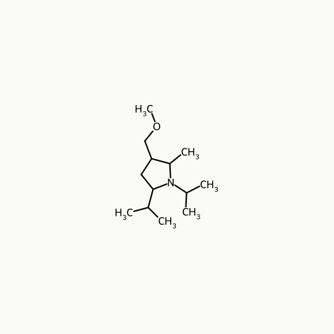 COCC1CC(C(C)C)N(C(C)C)C1C